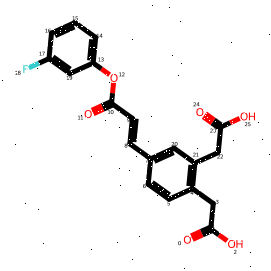 O=C(O)Cc1ccc(/C=C/C(=O)Oc2cccc(F)c2)cc1CC(=O)O